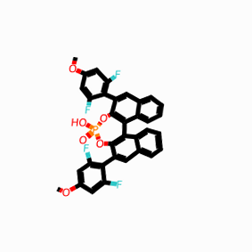 COc1cc(F)c(-c2cc3ccccc3c3c2OP(=O)(O)Oc2c(-c4c(F)cc(OC)cc4F)cc4ccccc4c2-3)c(F)c1